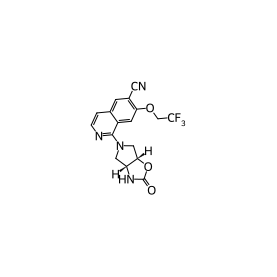 N#Cc1cc2ccnc(N3C[C@@H]4OC(=O)N[C@@H]4C3)c2cc1OCC(F)(F)F